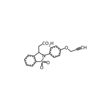 C#CCOc1ccc(N2C(CC(=O)O)c3ccccc3S2(=O)=O)cc1